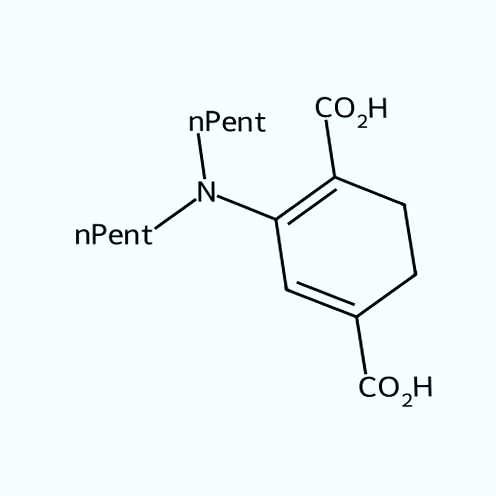 CCCCCN(CCCCC)C1=C(C(=O)O)CCC(C(=O)O)=C1